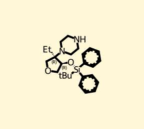 CC[C@@]1(N2CCNCC2)COC[C@@H]1O[Si](c1ccccc1)(c1ccccc1)C(C)(C)C